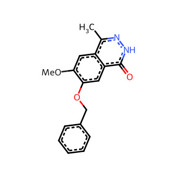 COc1cc2c(C)n[nH]c(=O)c2cc1OCc1ccccc1